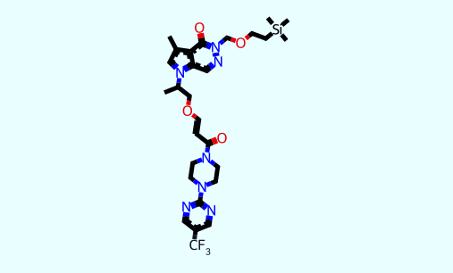 Cc1cn(C(C)CO/C=C/C(=O)N2CCN(c3ncc(C(F)(F)F)cn3)CC2)c2cnn(COCC[Si](C)(C)C)c(=O)c12